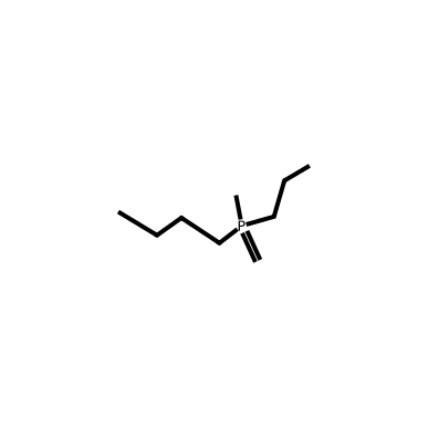 C=P(C)(CCC)CCCC